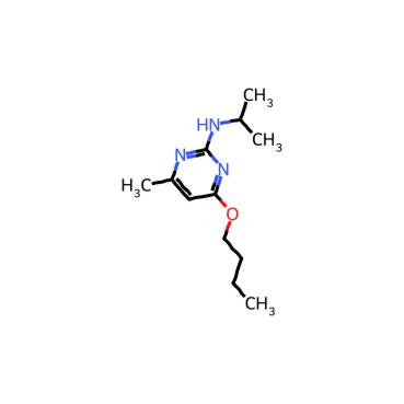 CCCCOc1cc(C)nc(NC(C)C)n1